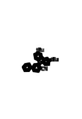 CC(C)(C)c1ccc2c(c1)c1cc(C(C)(C)C)ccc1n2-c1cc(-c2ccccc2)ccc1C#N